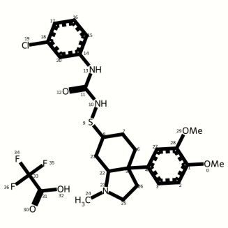 COc1ccc(C23CCC(SNC(=O)Nc4cccc(Cl)c4)CC2N(C)CC3)cc1OC.O=C(O)C(F)(F)F